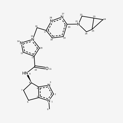 Cn1cnc2c1CC[C@H]2NC(=O)c1cnn(Cc2ccc(N3CC4CC4C3)nn2)c1